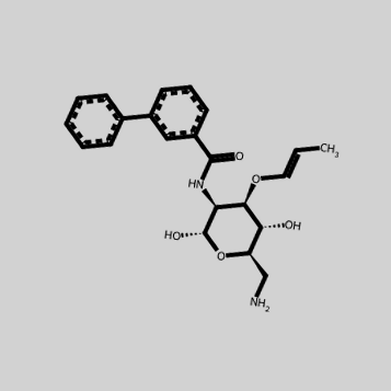 CC=CO[C@H]1[C@H](O)[C@@H](CN)O[C@H](O)[C@H]1NC(=O)c1cccc(-c2ccccc2)c1